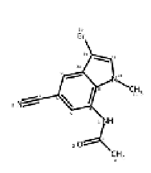 CC(=O)Nc1cc(C#N)cc2c(Br)cn(C)c12